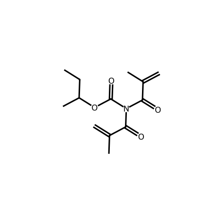 C=C(C)C(=O)N(C(=O)OC(C)CC)C(=O)C(=C)C